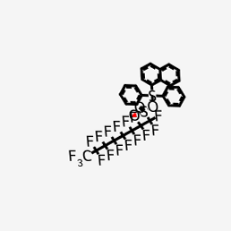 O=S(=O)(OS(c1ccccc1)(c1ccccc1)c1cccc2ccccc12)C(F)(F)C(F)(F)C(F)(F)C(F)(F)C(F)(F)C(F)(F)C(F)(F)C(F)(F)F